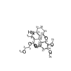 COCCOC(=O)C1=C(C)NC2=C(C(=O)CCC2)C1c1cc(OC)c(OC)cc1Br